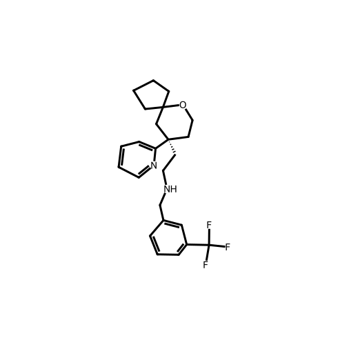 FC(F)(F)c1cccc(CNCC[C@@]2(c3ccccn3)CCOC3(CCCC3)C2)c1